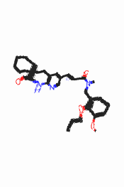 CCCOc1c(CN(C)C(=O)/C=C/c2cnc3c(c2)CC2(CCCCC2)C(=O)N3)cccc1OC